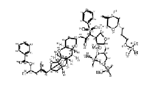 C=C1[C@H](C)C[C@H](CCCO[Si](CC)(CC)CC)O[C@@H]1C[C@@H]1O[C@H](C[C@@H](CO[Si](C)(C)C(C)(C)C)O[Si](C)(C)C(C)(C)C)[C@H](OC)[C@H]1C(C(=O)C[C@H]1CC[C@@H]2O[C@@H]3[C@H]4O[C@@H]5C[C@@](C=C(Br)CC(CC)OC(=O)c6ccccc6)(O[C@H]4[C@H]2O1)O[C@H]35)S(=O)(=O)c1ccccc1